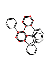 c1ccc(-c2cccnc2-c2c(-c3ccccc3)nnnc2-c2ccccc2-c2c(-c3ccccc3)ccc3[se]c4ccccc4c23)cc1